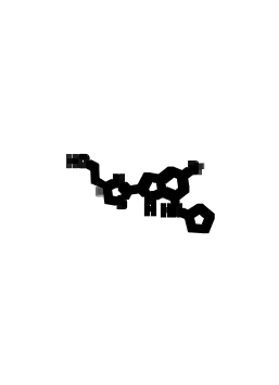 OCC[C@@H]1CSC(c2cc3cc(Br)cc(NC4CCCC4)c3[nH]2)=N1